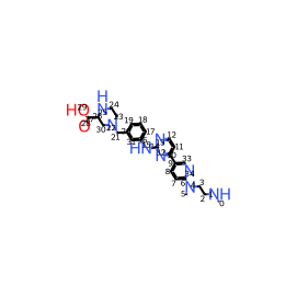 CNCCN(C)c1ccc(-c2ccnc(Nc3cccc(CN4CCNC(C(=O)O)C4)c3)n2)cn1